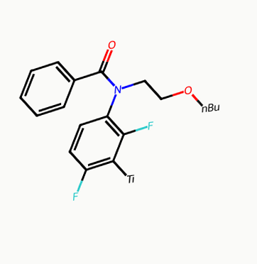 CCCCOCCN(C(=O)c1ccccc1)c1ccc(F)[c]([Ti])c1F